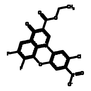 CCOC(=O)c1cn2c3c(c(F)c(F)cc3c1=O)Oc1cc([N+](=O)[O-])c(Cl)cc1-2